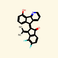 N#CC(C#N)=C1/C(=C2/c3cccnc3-c3c(O)cccc32)C(=O)c2ccc(F)c(F)c21